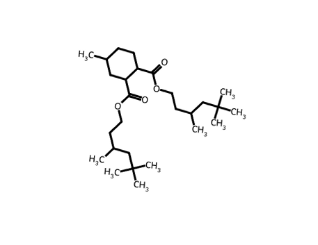 CC1CCC(C(=O)OCCC(C)CC(C)(C)C)C(C(=O)OCCC(C)CC(C)(C)C)C1